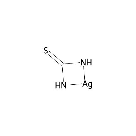 S=C1[NH][Ag][NH]1